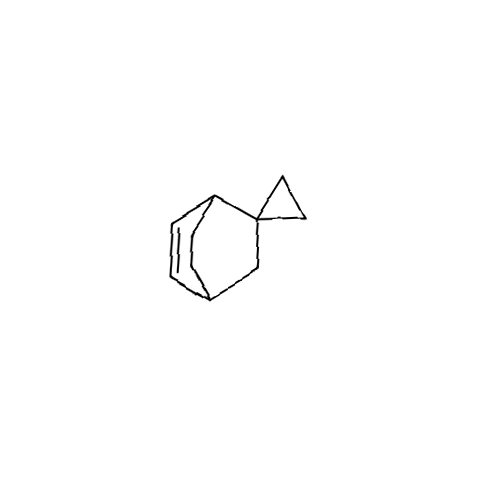 C1=CC2CCC1CC21CC1